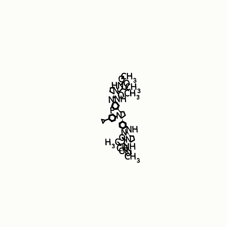 COC(=O)N[C@H](C(=O)N1CCC[C@H]1c1nc2ccc([C@H]3CC[C@H](c4ccc5nc([C@@H]6CCCN6C(=O)[C@@H](NC(=O)OC)C(C)C)[nH]c5c4)N3c3ccc(C4CC4)cc3F)cc2[nH]1)C(C)C